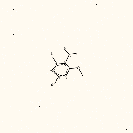 COc1cc(Br)cc(F)c1C(C)C